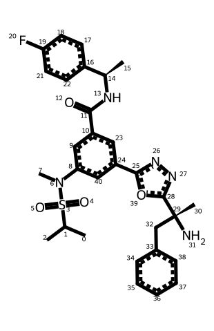 CC(C)S(=O)(=O)N(C)c1cc(C(=O)N[C@H](C)c2ccc(F)cc2)cc(-c2nnc([C@](C)(N)Cc3ccccc3)o2)c1